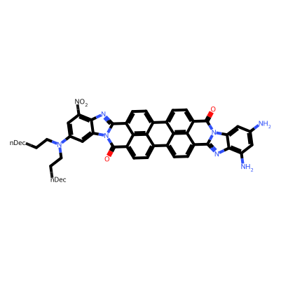 CCCCCCCCCCCCN(CCCCCCCCCCCC)c1cc([N+](=O)[O-])c2nc3c4ccc5c6ccc7c(=O)n8c9cc(N)cc(N)c9nc8c8ccc(c9ccc(c(=O)n3c2c1)c4c95)c6c78